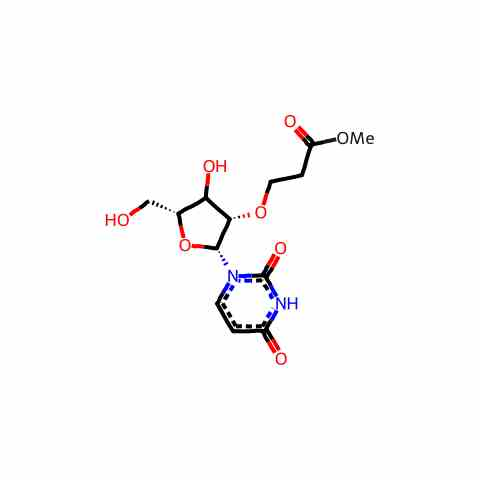 COC(=O)CCO[C@H]1C(O)[C@@H](CO)O[C@H]1n1ccc(=O)[nH]c1=O